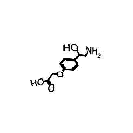 NCC(O)c1ccc(OCC(=O)O)cc1